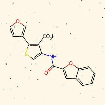 O=C(Nc1csc(-c2ccoc2)c1C(=O)O)c1cc2ccccc2o1